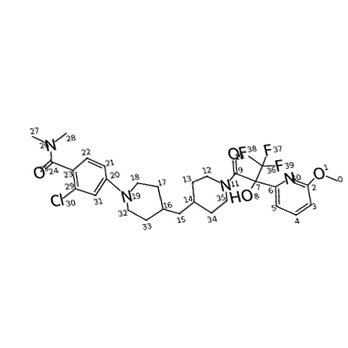 COc1cccc(C(O)(C(=O)N2CCC(CC3CCN(c4ccc(C(=O)N(C)C)c(Cl)c4)CC3)CC2)C(F)(F)F)n1